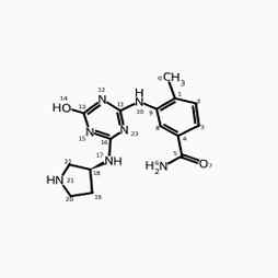 Cc1ccc(C(N)=O)cc1Nc1nc(O)nc(N[C@H]2CCNC2)n1